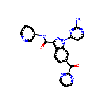 Nc1nccc(-n2nc(C(=O)Nc3cccnc3)c3ccc(C(=O)c4ncccn4)cc32)n1